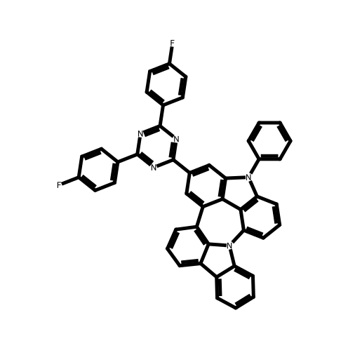 Fc1ccc(-c2nc(-c3ccc(F)cc3)nc(-c3cc4c5cccc6c7ccccc7n(c7cccc8c7c4c(c3)n8-c3ccccc3)c56)n2)cc1